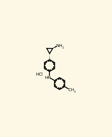 Cc1ccc(Nc2ccc([C@@H]3C[C@H]3N)cc2)cc1.Cl